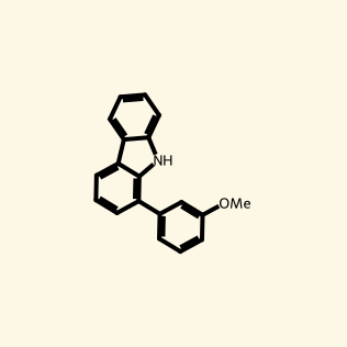 COc1cccc(-c2cccc3c2[nH]c2ccccc23)c1